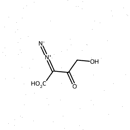 [N-]=[N+]=C(C(=O)O)C(=O)CO